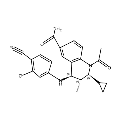 CC(=O)N1c2ccc(C(N)=O)cc2[C@H](Nc2ccc(C#N)c(Cl)c2)[C@@H](C)[C@@H]1C1CC1